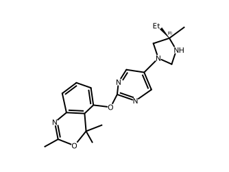 CC[C@]1(C)CN(c2cnc(Oc3cccc4c3C(C)(C)OC(C)=N4)nc2)CN1